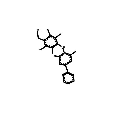 CCC(C)Cc1c(C)c(C)c(Bc2c(C)cc(-c3ccccc3)cc2C)c(C)c1C